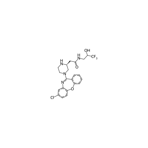 O=C(C[C@H]1CN(C2=Nc3cc(Cl)ccc3Oc3ccccc32)CCN1)NCC(O)C(F)(F)F